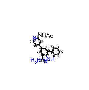 CC(=O)Nc1cc(-c2cc(-c3ccccc3)c3[nH]nc(N)c3c2)ccn1